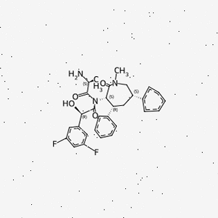 C[C@H](N)C(=O)N(C(=O)[C@H](O)c1cc(F)cc(F)c1)[C@@H]1C(=O)N(C)C[C@H](c2ccccc2)C[C@@H]1c1ccccc1